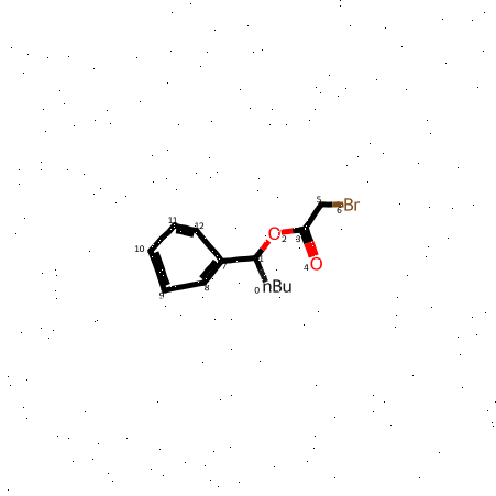 CCCCC(OC(=O)CBr)c1ccccc1